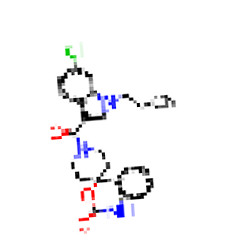 N#CCCn1cc(C(=O)N2CCC3(CC2)OC(=O)Nc2ccccc23)c2ccc(Cl)cc21